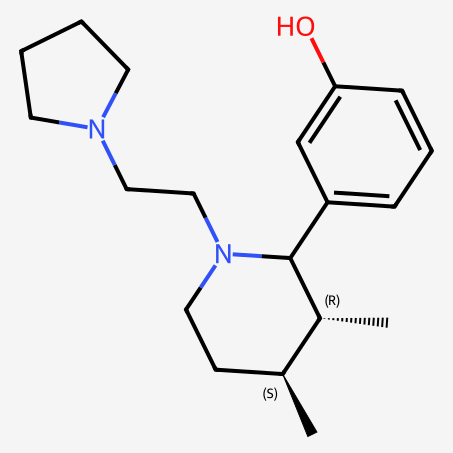 C[C@H]1CCN(CCN2CCCC2)C(c2cccc(O)c2)[C@@H]1C